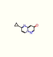 O=c1cnn2ccc(C3CC3)nc2c1